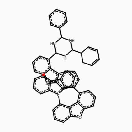 C1=CCC(C2NC(c3ccccc3)NC(c3cccc4sc5cc(-c6cccc7oc8cccc(-n9c%10ccccc%10c%10ccccc%109)c8c67)ccc5c34)N2)C=C1